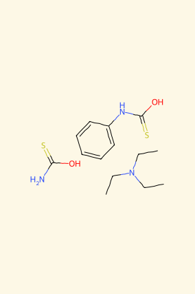 CCN(CC)CC.NC(O)=S.OC(=S)Nc1ccccc1